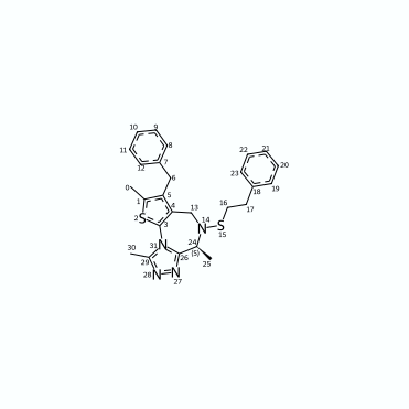 Cc1sc2c(c1Cc1ccccc1)CN(SCCc1ccccc1)[C@@H](C)c1nnc(C)n1-2